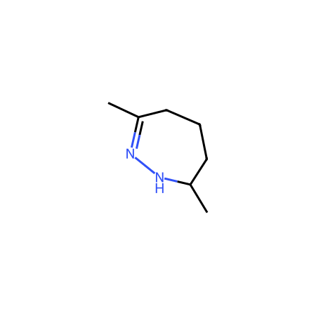 CC1=NNC(C)CCC1